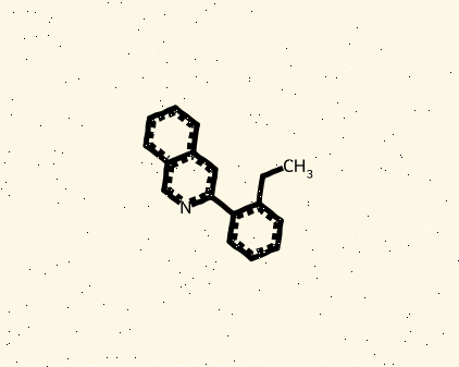 CCc1ccccc1-c1cc2ccccc2cn1